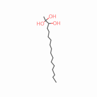 CCCCCCCCCCCCCCC(O)C(C)(O)O